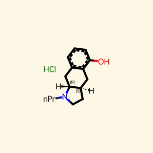 CCCN1CC[C@@H]2Cc3c(O)cccc3C[C@H]21.Cl